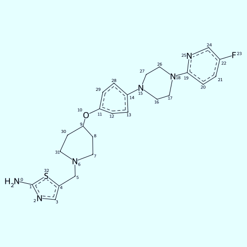 Nc1ncc(CN2CCC(Oc3ccc(N4CCN(c5ccc(F)cn5)CC4)cc3)CC2)s1